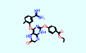 CCOC(=O)c1ccc(OC2=NC(Oc3cc(C(=N)N)ccc3C)=C3NC(=O)CN=C3N2)cc1